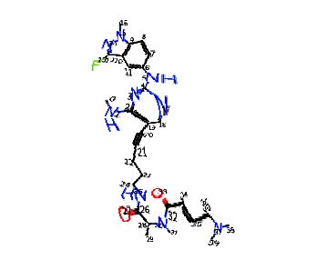 CNc1nc(Nc2ccc3c(c2)c(F)nn3C)ncc1C#CCCCNC(=O)[C@H](C)N(C)C(=O)/C=C/CN(C)C